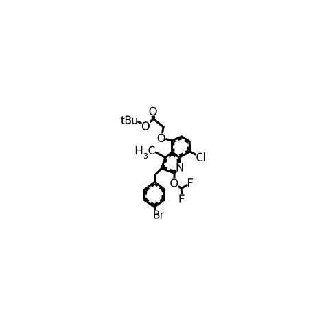 Cc1c(Cc2ccc(Br)cc2)c(OC(F)F)nc2c(Cl)ccc(OCC(=O)OC(C)(C)C)c12